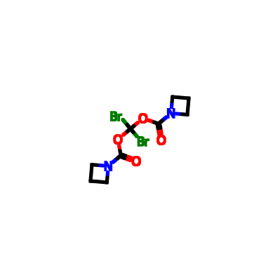 O=C(OC(Br)(Br)OC(=O)N1CCC1)N1CCC1